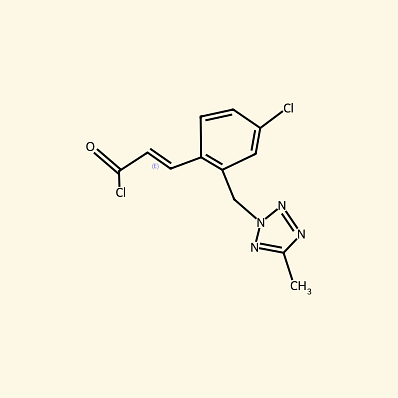 Cc1nnn(Cc2cc(Cl)ccc2/C=C/C(=O)Cl)n1